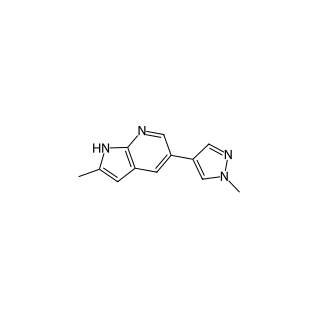 Cc1cc2cc(-c3cnn(C)c3)cnc2[nH]1